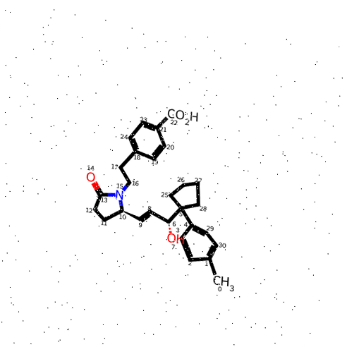 Cc1ccc(C2([C@H](O)/C=C/[C@H]3CCC(=O)N3CCc3ccc(C(=O)O)cc3)CCCC2)cc1